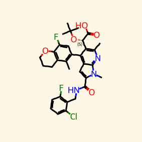 Cc1nc2c(cc(C(=O)NCc3c(F)cccc3Cl)n2C)c(-c2cc(F)c3c(c2C)CCCO3)c1[C@H](OC(C)(C)C)C(=O)O